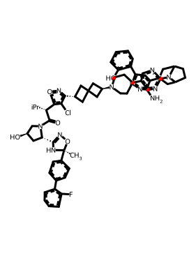 CC(C)[C@@H](C(=O)N1C[C@H](O)C[C@H]1C1=NO[C@@](C)(c2ccc(-c3ccccc3F)cc2)N1)c1onc([C@H]2CC3(C2)C[C@H](N2CCC(c4cnc(N5C6CCC5CN(c5cc(-c7ccccc7O)nnc5N)C6)nc4)CC2)C3)c1Cl